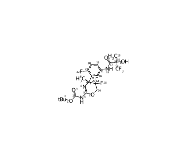 CC(C)(C)OC(=O)NC1=N[C@](C)(c2cc(NC(=O)[C@@](C)(O)C(F)(F)F)ccc2F)C(F)(F)CO1